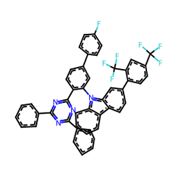 Fc1ccc(-c2ccc(-c3nc(-c4ccccc4)nc(-c4ccccc4)n3)c(-n3c4ccccc4c4ccc(-c5ccc(C(F)(F)F)cc5C(F)(F)F)cc43)c2)cc1